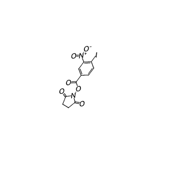 O=C(ON1C(=O)CCC1=O)c1ccc(I)c([N+](=O)[O-])c1